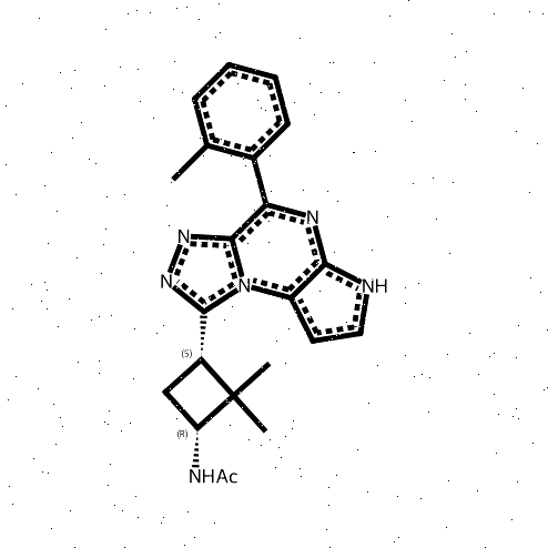 CC(=O)N[C@@H]1C[C@H](c2nnc3c(-c4ccccc4C)nc4[nH]ccc4n23)C1(C)C